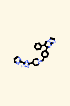 c1ccc(-c2cn3ccnc3nc2-c2ccc(CN3CCC(c4n[nH]c(-c5ncccn5)n4)CC3)cc2)cc1